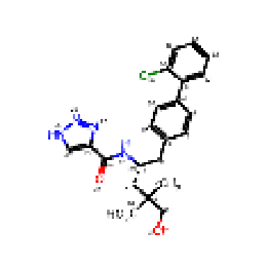 CC(CO)(C[C@@H](Cc1ccc(-c2ccccc2Cl)cc1)NC(=O)c1c[nH]nn1)C(=O)O